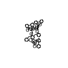 O=P1(CC(O)COc2ccccc2Cc2cccc(Cc3ccccc3OCC(O)CP3(=O)Oc4ccccc4-c4ccccc43)c2OCC(O)CP2(=O)Oc3ccccc3-c3ccccc32)Oc2ccccc2-c2ccccc21